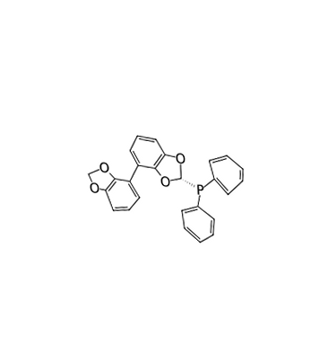 c1ccc(P(c2ccccc2)[C@H]2Oc3cccc(-c4cccc5c4OCO5)c3O2)cc1